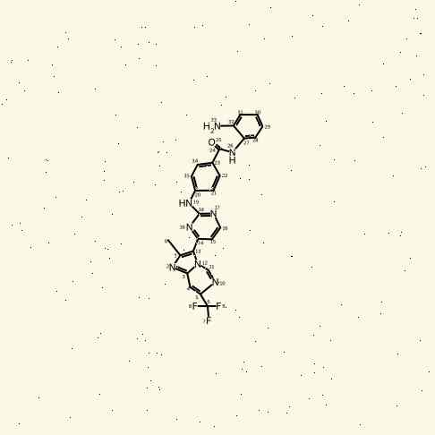 Cc1nc2cc(C(F)(F)F)ncn2c1-c1ccnc(Nc2ccc(C(=O)Nc3ccccc3N)cc2)n1